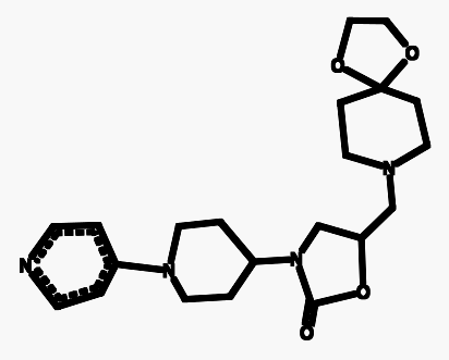 O=C1OC(CN2CCC3(CC2)OCCO3)CN1C1CCN(c2ccncc2)CC1